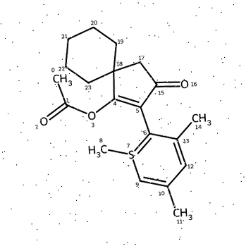 CC(=O)OC1=C(C2=S(C)C=C(C)C=C2C)C(=O)CC12CCCCC2